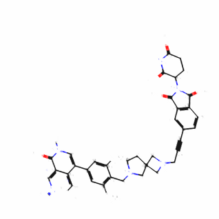 C=N/C=c1/c(=O)n(C)cc(-c2cc(OC)c(CN3CCC4(C3)CN(CC#Cc3ccc5c(c3)C(=O)N(C3CCC(=O)NC3=O)C5=O)C4)c(OC)c2)/c1=C/C